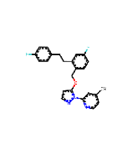 N#Cc1ccnc(-n2nccc2OCc2ccc(F)cc2CCc2ccc(F)cc2)c1